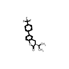 CC(C)[C@@H]1Cc2cc(-c3ccc(C(F)(F)F)cc3)ccc2OC1=O